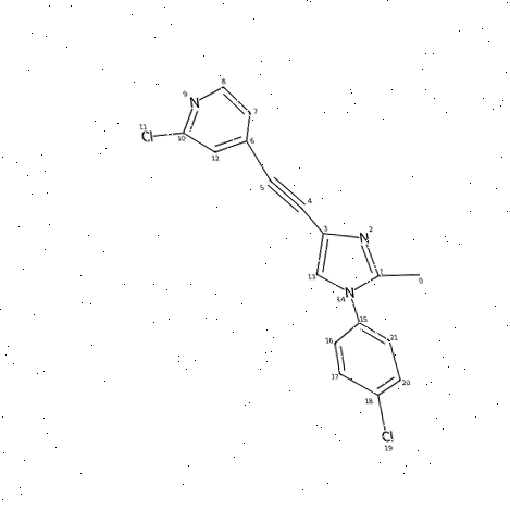 Cc1nc(C#Cc2ccnc(Cl)c2)cn1-c1ccc(Cl)cc1